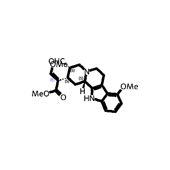 CO/C=C(/C(=O)OC)[C@H]1C[C@H]2c3[nH]c4cccc(OC)c4c3CCN2C[C@H]1C=O